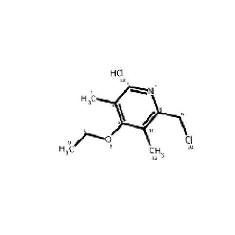 CCOc1c(C)cnc(CCl)c1C.Cl